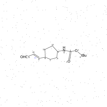 CC(C)(C)OC(=O)NC1CCC(/C=C/C=O)CC1